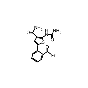 CCC(=O)c1ccccc1-c1cc(C(N)=O)c(NC(N)=O)s1